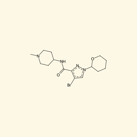 CN1CCC(NC(=O)c2nn(C3CCCCO3)cc2Br)CC1